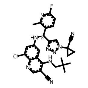 Cc1nc(F)ccc1[C@H](Nc1cc(Cl)c2ncc(C#N)c(NCC(C)(C)C)c2c1)c1cn(C2(C#N)CC2)nn1